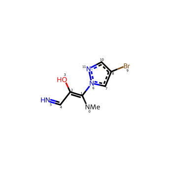 CN/C(=C(/O)C=N)n1cc(Br)cn1